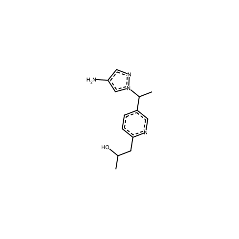 CC(O)Cc1ccc(C(C)n2cc(N)cn2)cn1